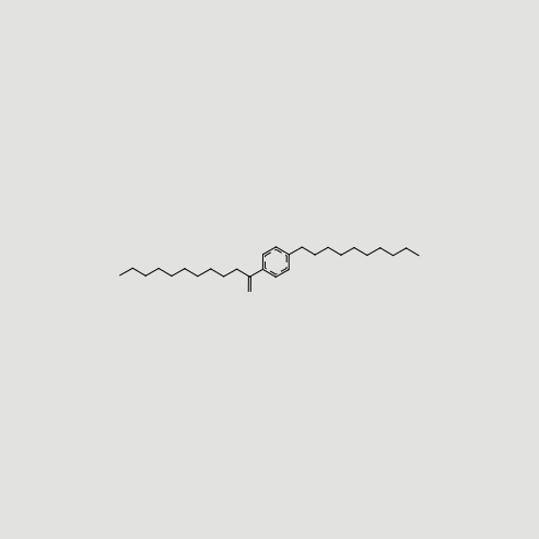 C=C(CCCCCCCCCC)c1ccc(CCCCCCCCCC)cc1